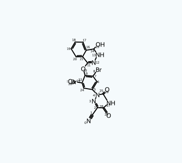 N#Cc1nn(-c2cc(Br)c(OC3=NNC(O)c4ccccc43)c(Br)c2)c(=O)[nH]c1=O.[Ca]